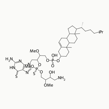 COC(COP(=S)(OC)OC(Cn1cnc2c(=S)[nH]c(N)nc21)C(COP(=O)(O)OC1CCC2(C)C(=CCC3C2CCC2(C)C3CCC2[C@H](C)CCCC(C)C)C1)OC)C(O)CN